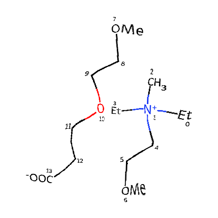 CC[N+](C)(CC)CCOC.COCCOCCC(=O)[O-]